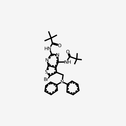 CC(C)(C)C(=O)Nc1nc(NC(=O)C(C)(C)C)c2c(CN(c3ccccc3)c3ccccc3)c(Br)sc2n1